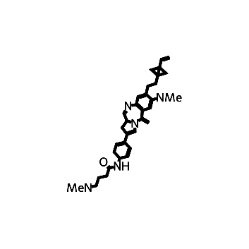 C=CC12CC1(CCc1cc3c(cc1NC)C(=C)N1C=C(C4=CCC(NC(=O)CCCNC)C=C4)CC1C=N3)C2